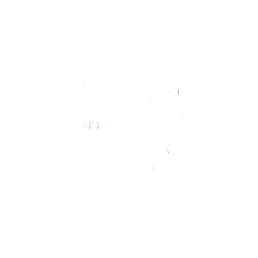 O=Cc1c[nH]c2cc(CCC(F)Cl)c(CCC(F)Cl)cc12